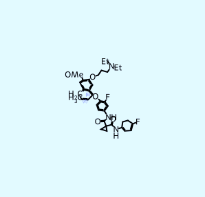 C=c1cc(OC)c(OCCCN(CC)CC)c/c1=C(/C=C\C)Oc1ccc(NC(=O)C2(C(=O)NC3=CC=C(F)CC3)CC2)cc1F